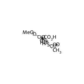 COc1ccc(-c2ccc(S(=O)(=O)NC(C[C@@H](O)CSc3ccc4c(C)cc(=O)oc4c3)C(=O)O)cc2)cc1